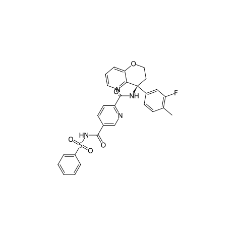 Cc1ccc([C@@]2(NC(=O)c3ccc(C(=O)NS(=O)(=O)c4ccccc4)cn3)CCOc3cccnc32)cc1F